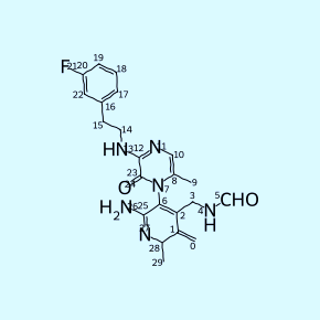 C=C1C(CNC=O)=C(n2c(C)cnc(NCCc3cccc(F)c3)c2=O)C(N)=NC1C